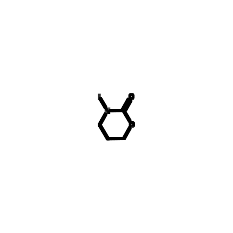 O=C1OCCCN1I